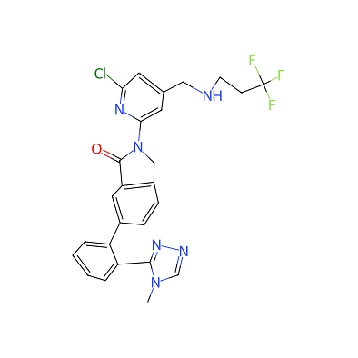 Cn1cnnc1-c1ccccc1-c1ccc2c(c1)C(=O)N(c1cc(CNCCC(F)(F)F)cc(Cl)n1)C2